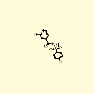 O=C(NS(=O)(=O)c1ccc(F)cc1)c1ccnc(Cl)c1